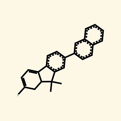 CC1(C)c2cc(-c3ccc4ccccc4c3)ccc2C2=CC=C(I)CC21